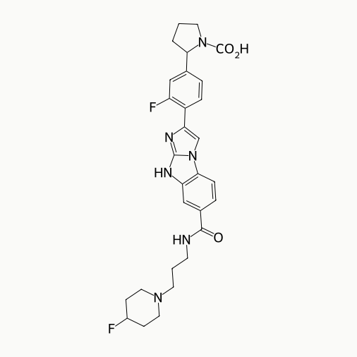 O=C(NCCCN1CCC(F)CC1)c1ccc2c(c1)[nH]c1nc(-c3ccc(C4CCCN4C(=O)O)cc3F)cn12